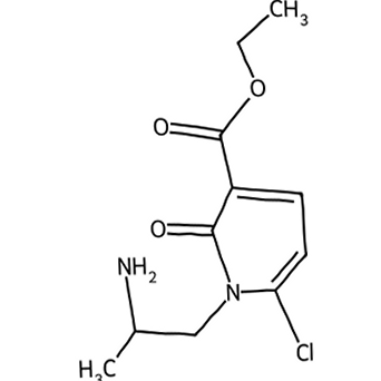 CCOC(=O)c1ccc(Cl)n(CC(C)N)c1=O